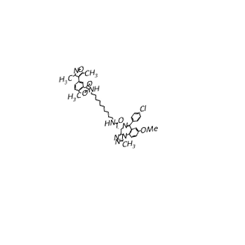 COc1ccc2c(c1)C(c1ccc(Cl)cc1)=N[C@@H](CC(=O)NCCCCCCCCCCNS(=O)(=O)c1cc(-c3c(C)noc3C)ccc1C)c1nnc(C)n1-2